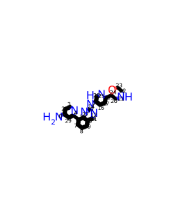 Nc1ccnc(-c2cccc3cnc(Nc4ccc(C5CNCCO5)nc4)nc23)c1